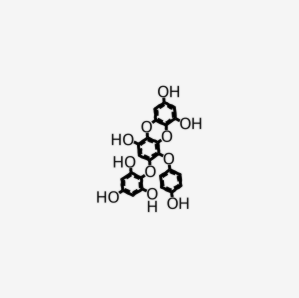 Oc1ccc(Oc2c(Oc3c(O)cc(O)cc3O)cc(O)c3c2Oc2c(O)cc(O)cc2O3)cc1